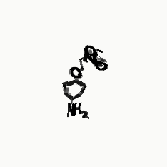 Nc1ccc(OCC[N+](=O)[O-])cc1